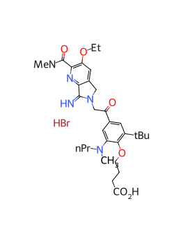 Br.CCCN(C)c1cc(C(=O)CN2Cc3cc(OCC)c(C(=O)NC)nc3C2=N)cc(C(C)(C)C)c1OCCCC(=O)O